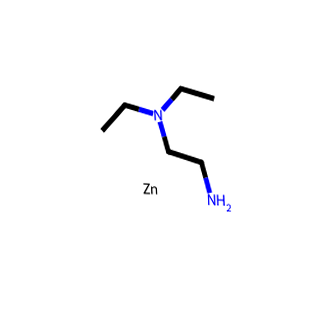 CCN(CC)CCN.[Zn]